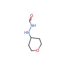 O=CNNC1CCOCC1